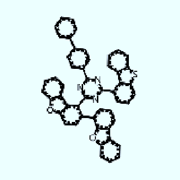 c1ccc(-c2ccc(-c3nc(-c4c(-c5cccc6c5oc5ccccc56)ccc5oc6ccccc6c45)nc(-c4cccc5sc6ccccc6c45)n3)cc2)cc1